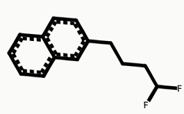 F[C](F)CCCc1ccc2ccccc2c1